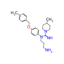 Cc1ccc(COc2ccc(N(CCCN)C(=N)N3CCC(C)CC3)cc2)cc1